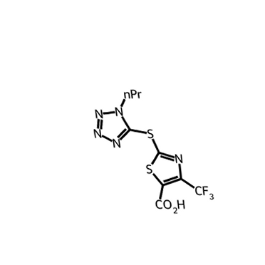 CCCn1nnnc1Sc1nc(C(F)(F)F)c(C(=O)O)s1